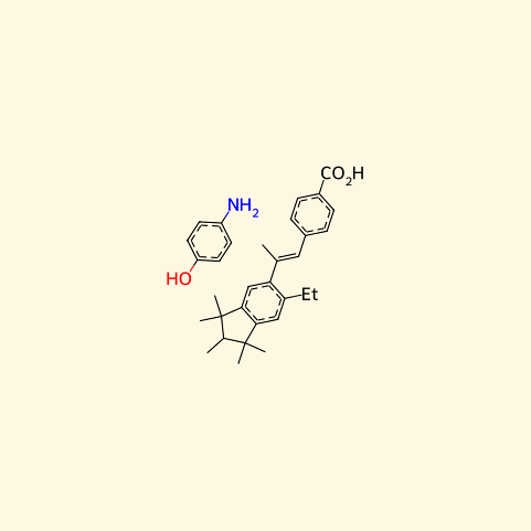 CCc1cc2c(cc1C(C)=Cc1ccc(C(=O)O)cc1)C(C)(C)C(C)C2(C)C.Nc1ccc(O)cc1